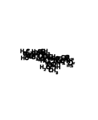 C=C(C)[C@@H]1CC[C@]2(C(=O)NC3C[C@H](C(=O)N4CCCC4)C3(C)C)CC[C@@]3(C)C4CC[C@H]5C(C)(C)[C@@H](OC(=O)CC(C)(C)C(=O)O)CC[C@]5(C)[C@H]4CC[C@]3(C)C12